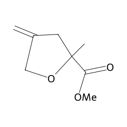 C=C1COC(C)(C(=O)OC)C1